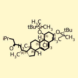 CC(C)CC(=O)C[C@@H](C)[C@H]1CC[C@H]2C3=CC=C4C[C@@H](O[Si](C)(C)C(C)(C)C)C[C@H](O[Si](C)(C)C(C)(C)C)[C@]4(C)[C@H]3CC[C@]12C